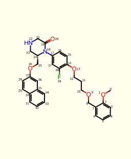 COc1ccccc1COCCCOc1ccc(N2C(=O)CNC[C@@H]2COc2ccc3ccccc3c2)cc1F